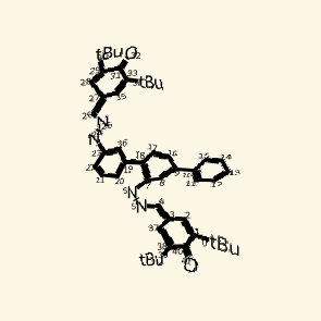 CC(C)(C)C1=CC(=C/N=N\c2cc(-c3ccccc3)ccc2-c2cccc(/N=N/C=C3C=C(C(C)(C)C)C(=O)C(C(C)(C)C)=C3)c2)C=C(C(C)(C)C)C1=O